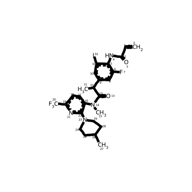 C=CC(=O)Nc1c(F)cc(C(C)C(=O)N(C)c2ccc(C(F)(F)F)nc2N2CCC(C)CC2)cc1I